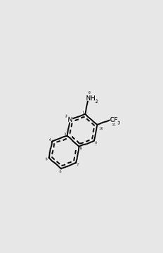 Nc1nc2ccccc2cc1C(F)(F)F